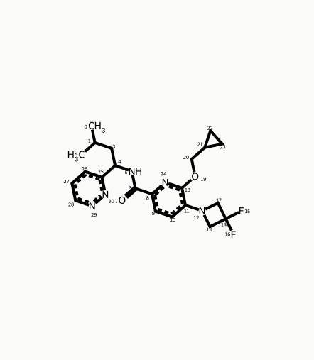 CC(C)CC(NC(=O)c1ccc(N2CC(F)(F)C2)c(OCC2CC2)n1)c1cccnn1